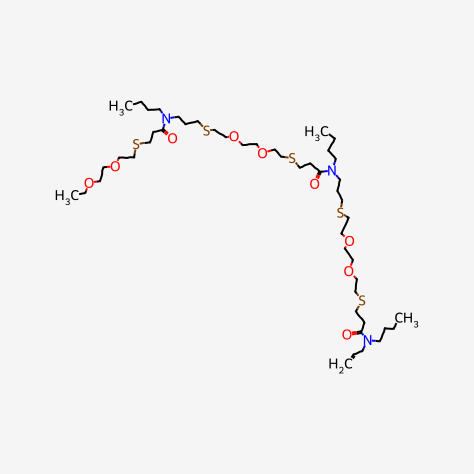 C=CCN(CCCC)C(=O)CCSCCOCCOCCSCCCN(CCCC)C(=O)CCSCCOCCOCCSCCCN(CCCC)C(=O)CCSCCOCCOCC